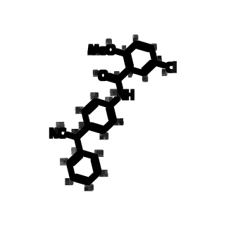 COc1ccc(Cl)cc1C(=O)Nc1ccc(C(C#N)c2ccccc2)cc1